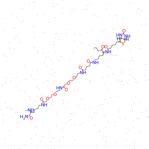 CCCC(=O)[C@H](CCCCNC(=O)CCCC(=O)NCCOCCOCC(=O)NCCOCCOCC(=O)NCCCC[C@H](NC)C(N)=O)NC(=O)CCCC[C@@H]1SC[C@@H]2NC(=O)N[C@@H]21